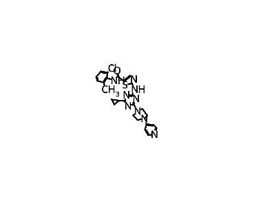 Cc1cccc(Cl)c1NC(=O)c1cnc(Nc2nc(C3CC3)nc(N3CCN(c4ccncc4)CC3)n2)s1